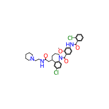 COc1cc(NC(=O)c2ccccc2Cl)ccc1C(=O)N1CCCC(CC(=O)NCCN2CCCCC2)c2cc(Cl)ccc21